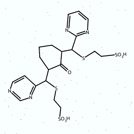 O=C1C(C(SCCS(=O)(=O)O)c2ccncn2)CCCC1C(SCCS(=O)(=O)O)c1ncccn1